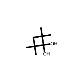 CC1(C)CC(C)(C)C1(O)O